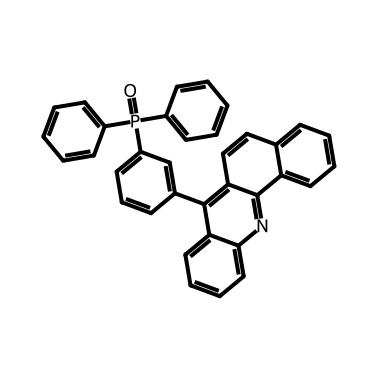 O=P(c1ccccc1)(c1ccccc1)c1cccc(-c2c3ccccc3nc3c2ccc2ccccc23)c1